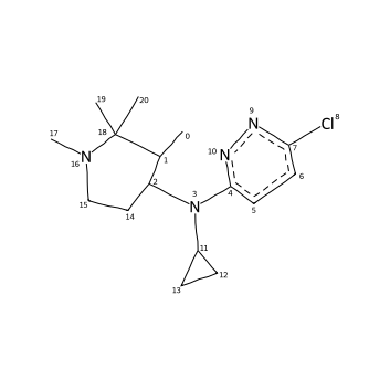 CC1C(N(c2ccc(Cl)nn2)C2CC2)CCN(C)C1(C)C